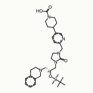 CC(C)(C)[Si](C)(C)O[C@H](CN1CCc2ccccc2C1)CN1CCN(Cc2ccc(C3CCN(C(=O)O)CC3)cn2)C1=O